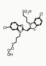 O=S(=O)(O)CCCN1C(=Cc2sc3ccc(Cl)cc3[n+]2CCCSOOO)Sc2ccc(Cl)cc21